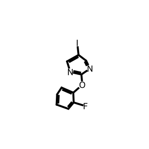 Fc1ccccc1Oc1ncc(I)cn1